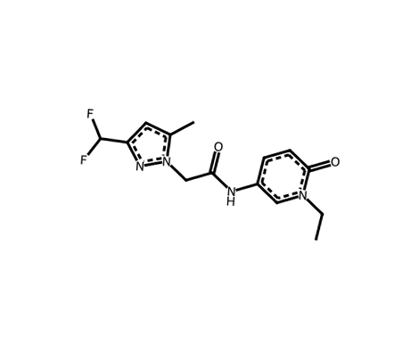 CCn1cc(NC(=O)Cn2nc(C(F)F)cc2C)ccc1=O